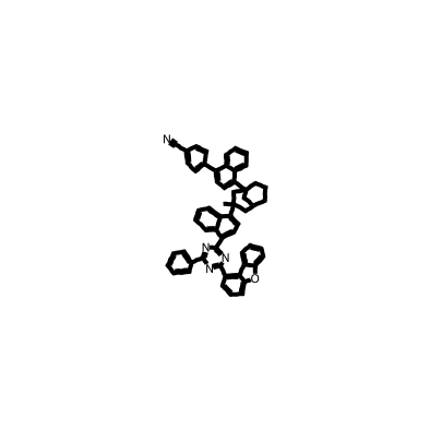 CC1(c2ccc(-c3nc(-c4ccccc4)nc(-c4cccc5oc6ccccc6c45)n3)c3ccccc23)CC2CCCC(c3ccc(-c4ccc(C#N)cc4)c4ccccc34)(C2)C1